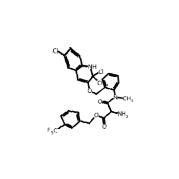 CN(C(=O)C(N)C(=O)OCc1cccc(C(F)(F)F)c1)c1ccccc1COC1=Cc2cc(Cl)ccc2NC1(C)Cl